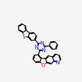 c1ccc(-c2nc(-c3ccc4c(c3)sc3ccccc34)nc(-c3cccc4oc5cc6ncccc6cc5c34)n2)cc1